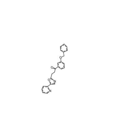 O=C(CCc1ncc(-c2ccccn2)o1)c1cccc(OCc2ccccc2)c1